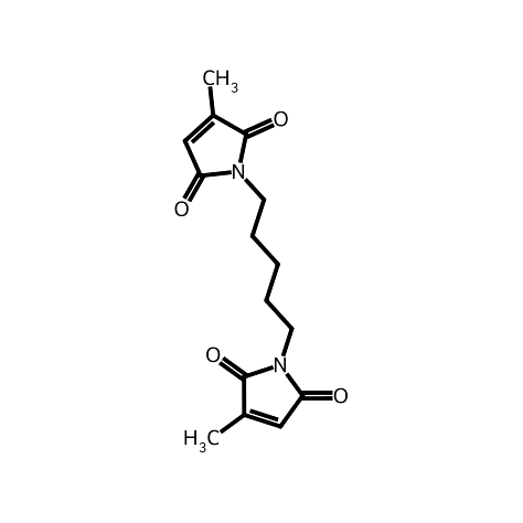 CC1=CC(=O)N(CCCCCN2C(=O)C=C(C)C2=O)C1=O